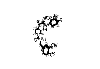 N#Cc1ccc(CNC(=O)N2CCC(C(=O)/C(=N/O)Nc3ccc(F)c(Br)c3)CC2)cc1C#N